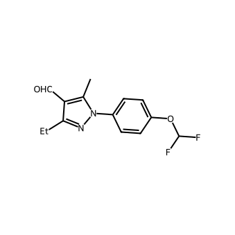 CCc1nn(-c2ccc(OC(F)F)cc2)c(C)c1C=O